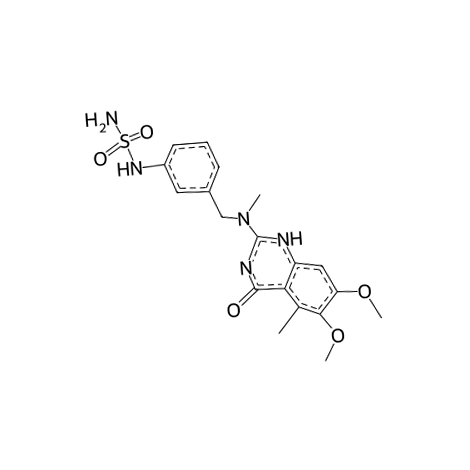 COc1cc2[nH]c(N(C)Cc3cccc(NS(N)(=O)=O)c3)nc(=O)c2c(C)c1OC